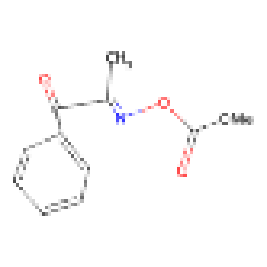 COC(=O)ON=C(C)C(=O)c1ccccc1